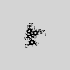 CC1C(=O)N(c2cc(Cl)cc(Cl)c2)C(=O)C1(c1ccc(OC(F)(F)F)cc1)c1ccc(OC(F)(F)F)cc1